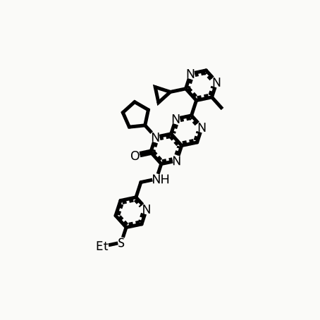 CCSc1ccc(CNc2nc3cnc(-c4c(C)ncnc4C4CC4)nc3n(C3CCCC3)c2=O)nc1